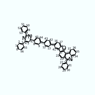 c1ccc(-c2cc(-c3ccc(-c4ccc(-c5ccc6oc7c(ccc8c(-c9ccccc9)nc9ccccc9c87)c6c5)cc4)cc3)nc(-c3ccccc3)n2)cc1